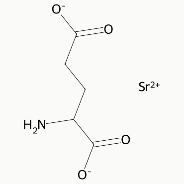 NC(CCC(=O)[O-])C(=O)[O-].[Sr+2]